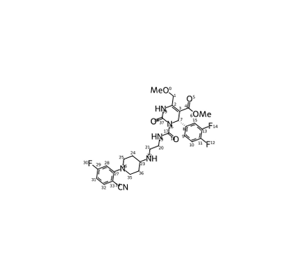 COCC1=C(C(=O)OC)[C@H](c2ccc(F)c(F)c2)N(C(=O)NCCNC2CCN(c3cc(F)ccc3C#N)CC2)C(=O)N1